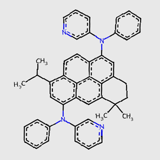 CC(C)c1cc(N(c2ccccc2)c2cccnc2)c2cc3c4c(cc(N(c5ccccc5)c5cccnc5)c5ccc1c2c54)CCC3(C)C